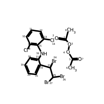 CC(=O)OOC(C)=O.Clc1cccc(Cl)c1Nc1ccccc1C(Br)C(Br)Br